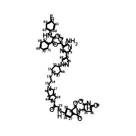 Nc1ncc(-c2cnn(C3CCN(CCCN4CC5CN(C(=O)CNc6ccc7c(c6)C(=O)N(C6CCC(=O)NC6=O)C7=O)CC5C4)CC3)c2)nc1C(=O)O[C@@H](C(=O)Nc1ccc(F)cc1)c1ccccc1